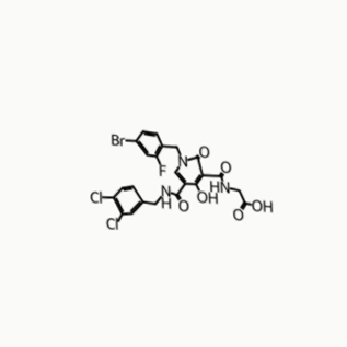 O=C(O)CNC(=O)c1c(O)c(C(=O)NCc2ccc(Cl)c(Cl)c2)cn(Cc2ccc(Br)cc2F)c1=O